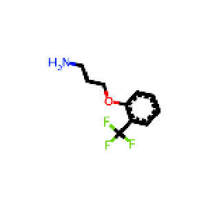 NCCCOc1ccccc1C(F)(F)F